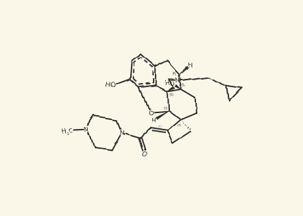 CN1CCN(C(=O)/C=C2\CC[C@]23CC[C@@]2(O)[C@H]4Cc5ccc(O)c6c5[C@@]2(CCN4CC2CC2)[C@H]3O6)CC1